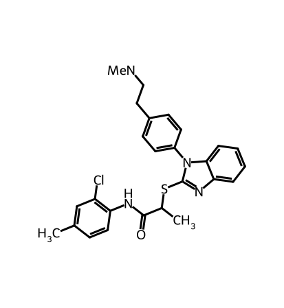 CNCCc1ccc(-n2c(SC(C)C(=O)Nc3ccc(C)cc3Cl)nc3ccccc32)cc1